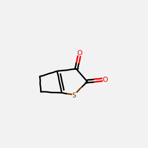 O=C1SC2=C(CC2)C1=O